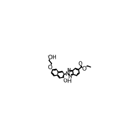 CCOC(=O)c1ccc2nn(-c3cc4cc(OCCO)ccc4cc3O)nc2c1